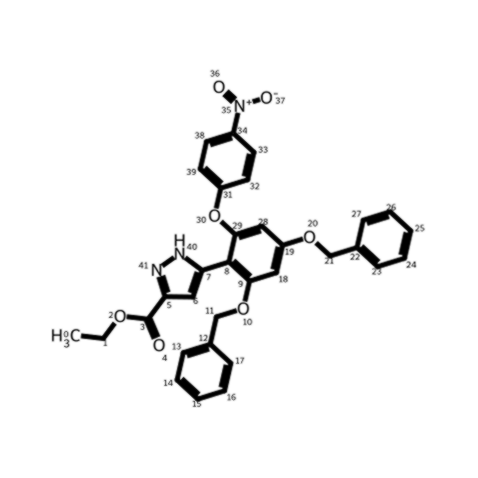 CCOC(=O)c1cc(-c2c(OCc3ccccc3)cc(OCc3ccccc3)cc2Oc2ccc([N+](=O)[O-])cc2)[nH]n1